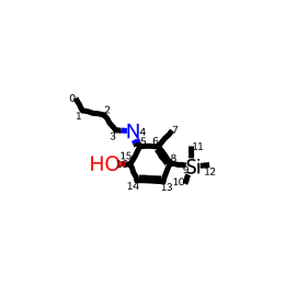 CCCCN=C1C(C)=C([Si](C)(C)C)C=CC1O